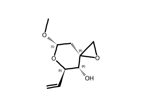 C=C[C@H]1O[C@H](OC)C[C@@]2(CO2)[C@@H]1O